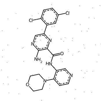 Nc1ncc(-c2cc(Cl)ccc2Cl)nc1C(=O)Nc1cnccc1N1CCOCC1